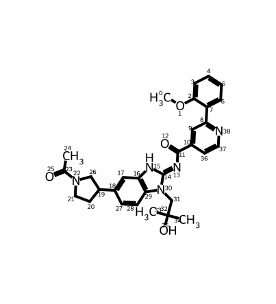 COc1ccccc1-c1cc(C(=O)/N=c2\[nH]c3cc(C4CCN(C(C)=O)C4)ccc3n2CC(C)(C)O)ccn1